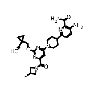 C#CC1(COc2nc(C(=O)N3CC(F)C3)cc(N3CCC(c4ccc(N)c(C(N)=O)n4)CC3)n2)CC1